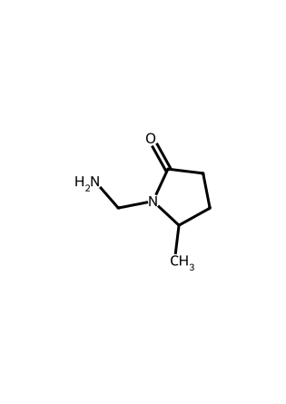 CC1CCC(=O)N1CN